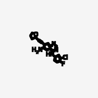 Nc1cc2c(Nc3ccc(F)c(Cl)c3)ncnc2cc1C#CC1CCCO1